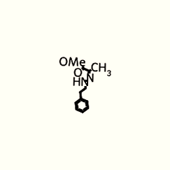 COC(=O)/C(C)=N\NCCc1ccccc1